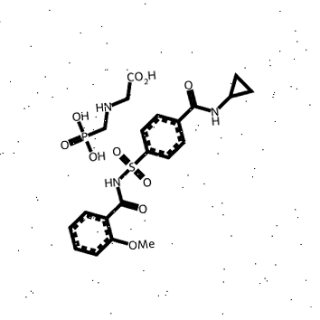 COc1ccccc1C(=O)NS(=O)(=O)c1ccc(C(=O)NC2CC2)cc1.O=C(O)CNCP(=O)(O)O